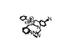 N#Cc1ccc2c(c1)CN(S(=O)(=O)c1ccccc1)[C@H](Cc1ccccc1)CN2Cc1ncc[nH]1